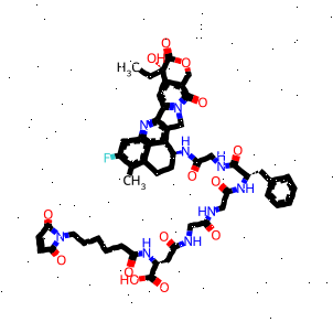 CC[C@@]1(O)C(=O)OCc2c1cc1n(c2=O)Cc2c-1nc1cc(F)c(C)c3c1c2[C@@H](NC(=O)CNC(=O)[C@H](Cc1ccccc1)NC(=O)CNC(=O)CNC(=O)C[C@H](NC(=O)CCCCCN1C(=O)C=CC1=O)C(=O)O)CC3